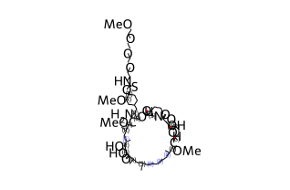 COCCOCCOCCOCCNC(=S)O[C@@H]1CCC(C[C@@H](N)[C@@H]2C[C@@H](OC)[C@H](C)/C=C(\C)[C@@H](O)[C@@H](O)C(=O)[C@H](C)C[C@H](C)/C=C/C=C/C=C(\C)[C@@H](OC)C[C@@H]3CC[C@@H](C)[C@@](O)(O3)C(=O)C(=O)N3CCCC[C@H]3C(=O)O2)C[C@H]1OC